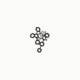 CC1(C)c2ccccc2-c2c1c1c(c3ccccc23)c2ccccc2n1-c1nc2ccccc2nc1-c1ccc(-c2ccccc2)cc1